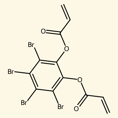 C=CC(=O)Oc1c(Br)c(Br)c(Br)c(Br)c1OC(=O)C=C